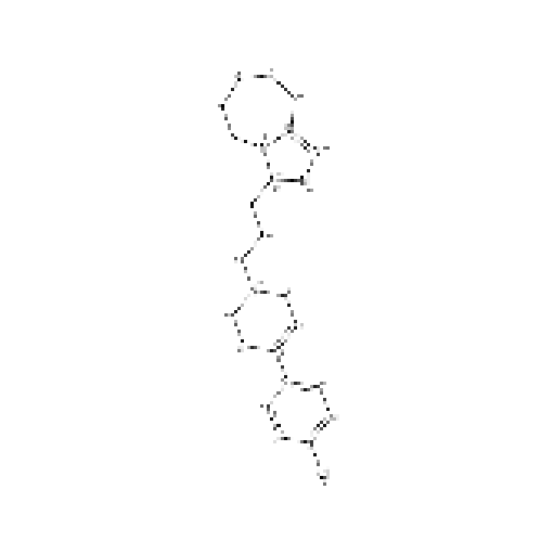 Clc1ccc(C2=CCN(CCCc3nnc4n3CCCCC4)CC2)cc1